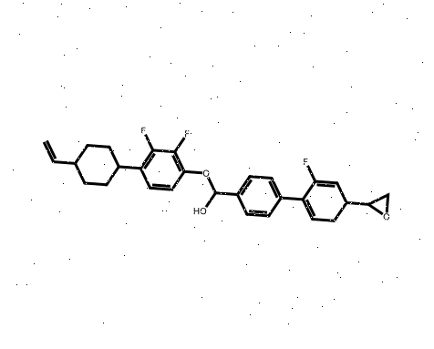 C=CC1CCC(c2ccc(OC(O)c3ccc(C4=CCC(C5CO5)C=C4F)cc3)c(F)c2F)CC1